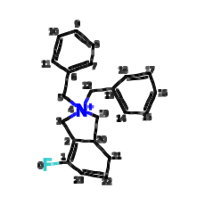 FC1=C2C[N+](Cc3ccccc3)(Cc3ccccc3)CC2CC=C1